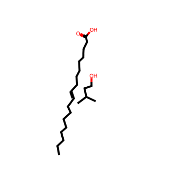 CC(C)CCO.CCCCCCCCC=CCCCCCCCC(=O)O